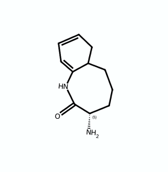 N[C@H]1CCCC2CC=CC=C2NC1=O